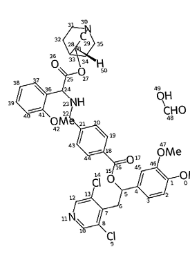 COc1ccc(C(Cc2c(Cl)cncc2Cl)OC(=O)c2ccc(CNC(C(=O)O[C@H]3CN4CCC3CC4)c3ccccc3OC)cc2)cc1OC.O=CO